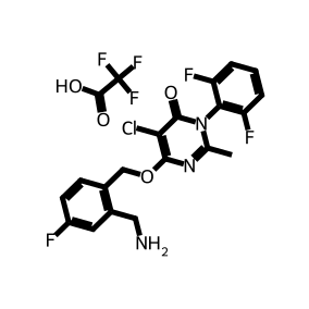 Cc1nc(OCc2ccc(F)cc2CN)c(Cl)c(=O)n1-c1c(F)cccc1F.O=C(O)C(F)(F)F